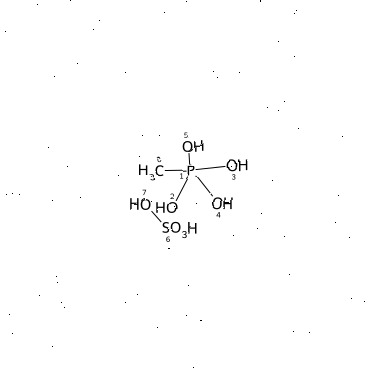 CP(O)(O)(O)O.O=S(=O)(O)O